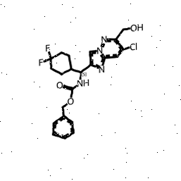 O=C(N[C@H](c1cn2nc(CO)c(Cl)cc2n1)C1CCC(F)(F)CC1)OCc1ccccc1